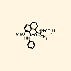 COc1ccc2c(c1C(=O)Nc1ccccc1)C(C(=O)[C@H](C)NC(=O)O)CCC2